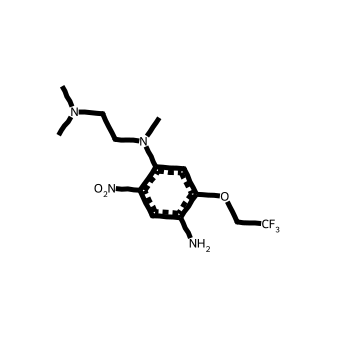 CN(C)CCN(C)c1cc(OCC(F)(F)F)c(N)cc1[N+](=O)[O-]